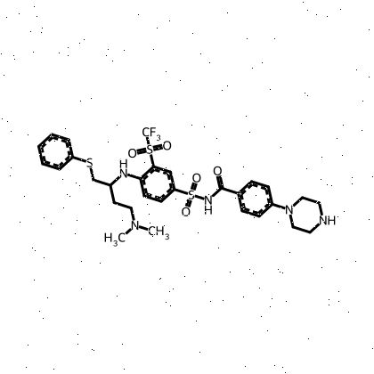 CN(C)CCC(CSc1ccccc1)Nc1ccc(S(=O)(=O)NC(=O)c2ccc(N3CCNCC3)cc2)cc1S(=O)(=O)C(F)(F)F